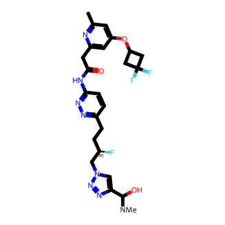 CNC(O)c1cn(C[C@H](F)CCc2ccc(NC(=O)Cc3cc(OC4CC(F)(F)C4)cc(C)n3)nn2)nn1